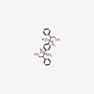 C[Si](C)(c1ccc([Si](C)(C)C(CO)c2ccccc2)cc1)C(CO)c1ccccc1